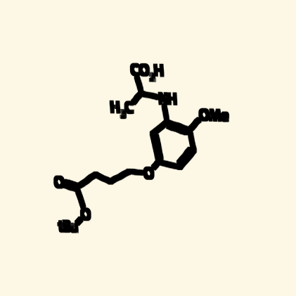 COc1ccc(OCCCC(=O)OC(C)(C)C)cc1NC(C)C(=O)O